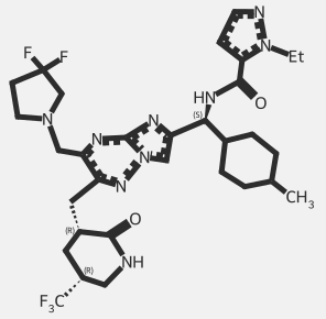 CCn1nccc1C(=O)N[C@H](c1cn2nc(C[C@H]3C[C@@H](C(F)(F)F)CNC3=O)c(CN3CCC(F)(F)C3)nc2n1)C1CCC(C)CC1